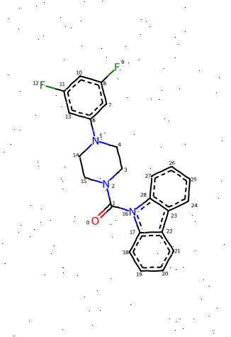 O=C(N1CCN(c2cc(F)cc(F)c2)CC1)n1c2ccccc2c2ccccc21